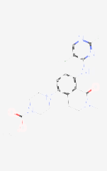 CN1CCc2c(N3CCN(C(=O)OC(C)(C)C)CC3)ccc(Nc3nc(Cl)ncc3Cl)c2C1=O